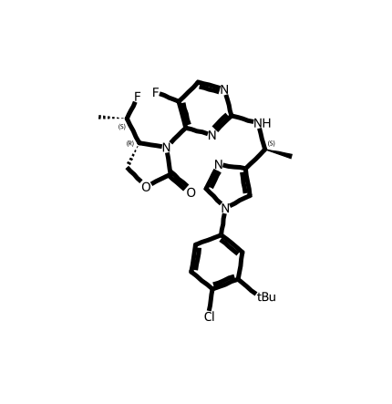 C[C@H](Nc1ncc(F)c(N2C(=O)OC[C@@H]2[C@H](C)F)n1)c1cn(-c2ccc(Cl)c(C(C)(C)C)c2)cn1